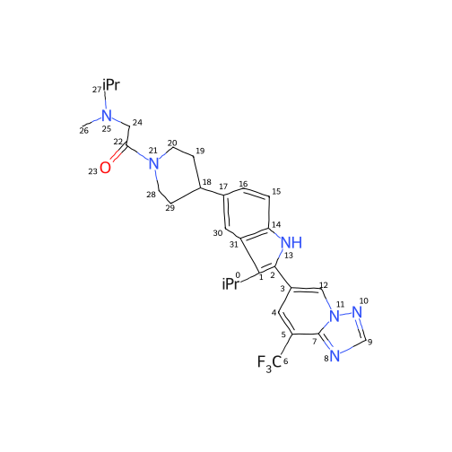 CC(C)c1c(-c2cc(C(F)(F)F)c3ncnn3c2)[nH]c2ccc(C3CCN(C(=O)CN(C)C(C)C)CC3)cc12